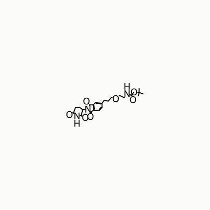 CC(C)(C)OC(=O)NCCOCCCc1ccc2c(c1)C(=O)N(C1CCC(=O)NC1=O)C2=O